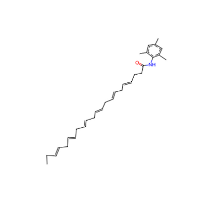 CC/C=C/C/C=C/C/C=C/C/C=C/C/C=C/C/C=C/CCC(=O)Nc1c(C)cc(C)cc1C